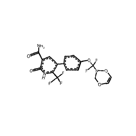 NC(=O)c1cc(-c2ccc(OC(F)(F)N3COC=CO3)cc2)c(C(F)(F)F)[nH]c1=O